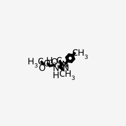 CC(=O)OCC(=O)Nc1c(C)nn(-c2ccc(C)cc2)c1C